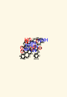 CC(C)C[C@H](NC(=O)C[C@H](O)[C@H](CC(C)C)NC(=O)[C@H](Cc1c[nH]cn1)NC(=O)[C@H](Cc1ccccc1)NC(=O)OC(C)(C)C)C(=O)NC(=O)C1c2ccccc2CCc2ccccc21